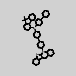 CC1(C)c2ccccc2-c2c(N(c3ccc(-c4ccccc4)cc3)c3ccc(-c4ccc(-n5c6nc7ccccc7c-6cc6ccccc65)cc4)cc3)cccc21